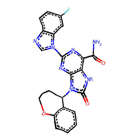 NC(=O)c1nc(-n2cnc3ccc(F)cc32)nc2c1[nH]c(=O)n2C1CCOc2ccccc21